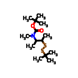 CC(SSC(C)(C)C)C(C)N(C)C(=O)OC(C)(C)C